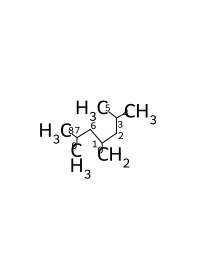 [CH2]C(CC(C)C)CC(C)C